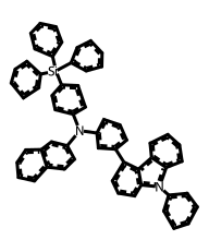 c1ccc(-n2c3ccccc3c3c(-c4cccc(N(c5ccc([Si](c6ccccc6)(c6ccccc6)c6ccccc6)cc5)c5ccc6ccccc6c5)c4)cccc32)cc1